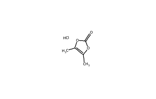 Cc1oc(=O)oc1C.Cl